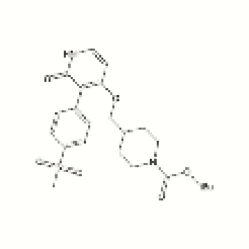 CC(C)(C)OC(=O)N1CCC(COc2cc[nH]c(=O)c2-c2ccc(S(C)(=O)=O)cc2)CC1